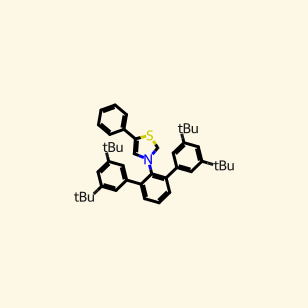 CC(C)(C)c1cc(-c2cccc(-c3cc(C(C)(C)C)cc(C(C)(C)C)c3)c2N2C=C(c3ccccc3)SC2)cc(C(C)(C)C)c1